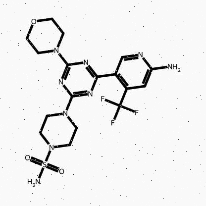 Nc1cc(C(F)(F)F)c(-c2nc(N3CCOCC3)nc(N3CCN(S(N)(=O)=O)CC3)n2)cn1